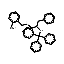 COc1ccccc1CNCC(Cc1ccccc1)NC(c1ccccc1)(c1ccccc1)c1ccccc1